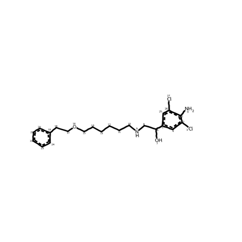 Nc1c(Cl)cc(C(O)CNCCCCCCOCCc2ccccc2)cc1Cl